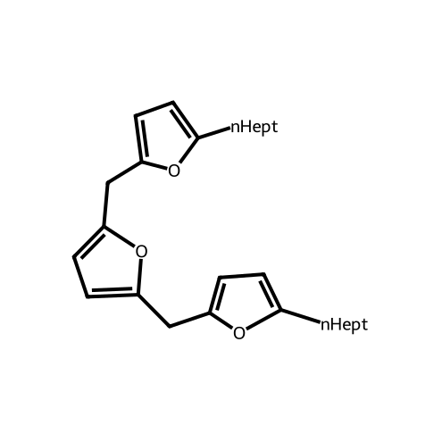 CCCCCCCc1ccc(Cc2ccc(Cc3ccc(CCCCCCC)o3)o2)o1